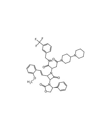 COc1ccccc1C=CC1C(N2C(=O)OC[C@@H]2c2ccccc2)C(=O)N1C(CC(=O)N1CCC(N2CCCCC2)CC1)C(=O)NCc1cccc(C(F)(F)F)c1